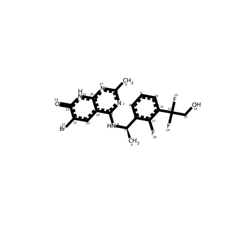 Cc1nc(N[C@H](C)c2cccc(C(F)(F)CO)c2F)c2cc(Br)c(=O)[nH]c2n1